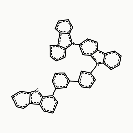 c1cc(-c2cccc(-n3c4ccccc4c4ccc(-n5c6ccccc6c6ccccc65)cc43)c2)cc(-c2cccc3c2sc2ccccc23)c1